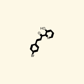 O=C(C=Cc1ccc(Br)cc1)c1ncccc1O